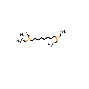 CCP(CC)CCCCCCCCP(CC)CC